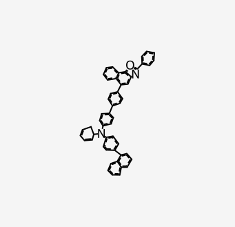 C1=CCC(N(c2ccc(-c3ccc(-c4cc5nc(-c6ccccc6)oc5c5ccccc45)cc3)cc2)c2ccc(-c3cccc4ccccc34)cc2)C=C1